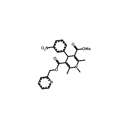 COC(=O)C1=C(C)N(C)C(C)=C(C(=O)OCc2ccccn2)C1c1cccc([N+](=O)[O-])c1